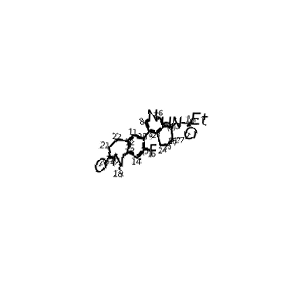 CCC(=O)N[C@@H]1c2cncc(-c3cc4c(cc3F)N(C)C(=O)CC4)c2CC[C@H]1C